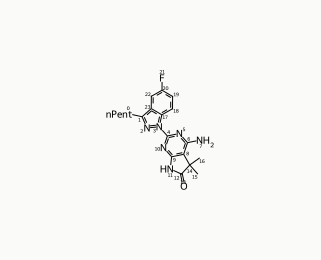 CCCCCc1nn(-c2nc(N)c3c(n2)NC(=O)C3(C)C)c2ccc(F)cc12